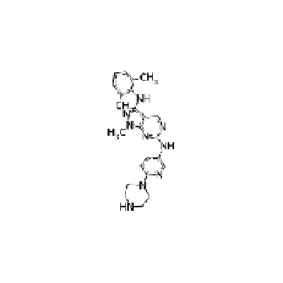 Cc1cccc(C)c1Nc1nn(C)c2nc(Nc3ccc(N4CCNCC4)nc3)ncc12